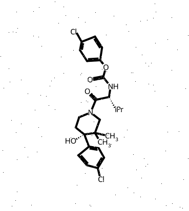 CC(C)[C@@H](NC(=O)Oc1ccc(Cl)cc1)C(=O)N1CC[C@](O)(c2ccc(Cl)cc2)C(C)(C)C1